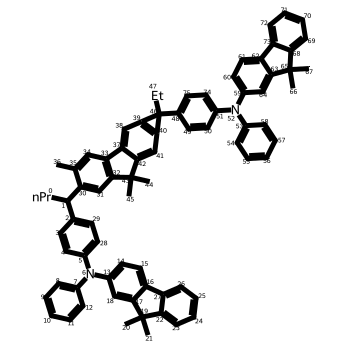 CCCC(c1ccc(N(c2ccccc2)c2ccc3c(c2)C(C)(C)c2ccccc2-3)cc1)c1cc2c(cc1C)-c1cc3c(cc1C2(C)C)C3(CC)c1ccc(N(c2ccccc2)c2ccc3c(c2)C(C)(C)c2ccccc2-3)cc1